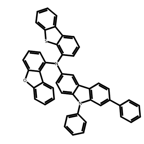 c1ccc(-c2ccc3c4cc(N(c5cccc6c5sc5ccccc56)c5cccc6oc7ccccc7c56)ccc4n(-c4ccccc4)c3c2)cc1